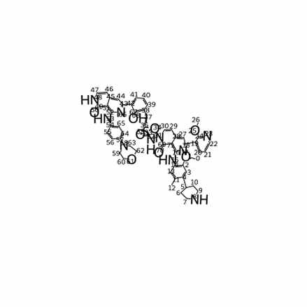 COc1cc(C2CCNCC2)c(C)cc1Nc1nc(-c2cccnc2OC)cc2ccn(NS(=O)(=O)CCc3cccc(-c4cc5cc[nH]c(=O)c5c(Nc5ccc(N6CCOCC6)cc5)n4)c3O)c(=O)c12